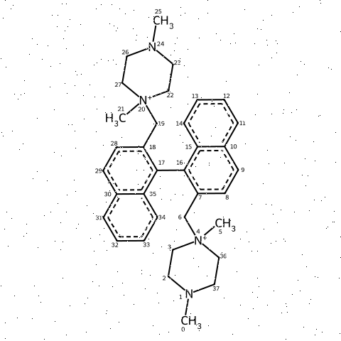 CN1CC[N+](C)(Cc2ccc3ccccc3c2-c2c(C[N+]3(C)CCN(C)CC3)ccc3ccccc23)CC1